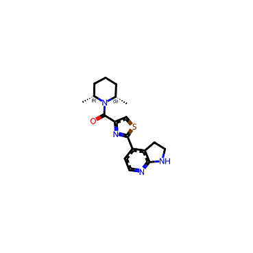 C[C@@H]1CCC[C@H](C)N1C(=O)c1csc(-c2ccnc3c2CCN3)n1